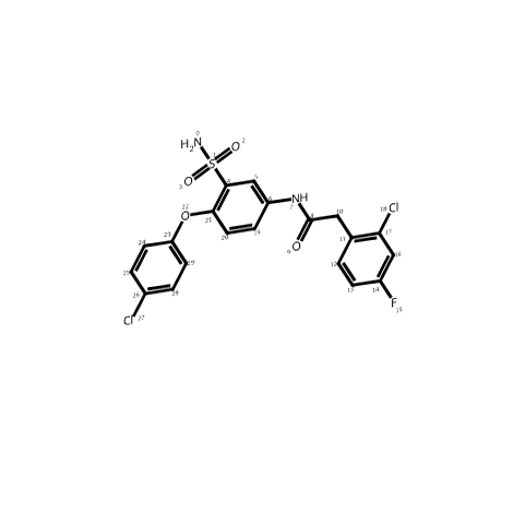 NS(=O)(=O)c1cc(NC(=O)Cc2ccc(F)cc2Cl)ccc1Oc1ccc(Cl)cc1